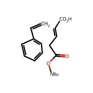 C=Cc1ccccc1.CCCCOC(=O)CC=CC(=O)O